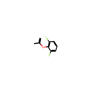 C=C(C)Oc1c(F)cccc1F